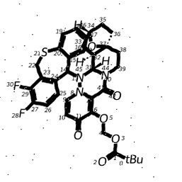 CC(C)(C)C(=O)OCOc1c2n(ccc1=O)N(C1c3ccccc3SCc3c1ccc(F)c3F)[C@@H]1[C@H]3C[C@@H]4CC[C@@]3(CCN1C2=O)O4